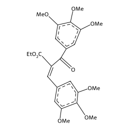 CCOC(=O)C(=Cc1cc(OC)c(OC)c(OC)c1)C(=O)c1cc(OC)c(OC)c(OC)c1